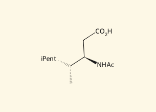 CCC[C@@H](C)[C@@H](C)[C@@H](CC(=O)O)NC(C)=O